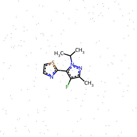 Cc1nn(C(C)C)c(-c2nccs2)c1F